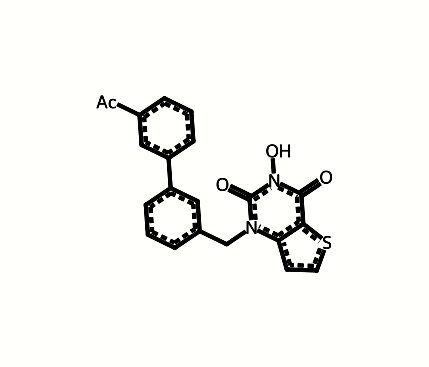 CC(=O)c1cccc(-c2cccc(Cn3c(=O)n(O)c(=O)c4sccc43)c2)c1